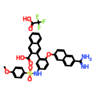 COc1ccc(S(=O)(=O)Nc2ccc(Oc3ccc4cc(C(=N)N)ccc4c3)c(-c3cc4ccccc4cc3C(=O)O)c2)cc1.O=C(O)C(F)(F)F